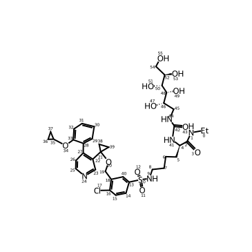 CCNC(=O)[C@@H](CCCCNS(=O)(=O)c1ccc(Cl)c(COC2(c3cnccc3-c3ccccc3OC3CC3)CC2)c1)NC(=O)NC[C@H](O)[C@@H](O)[C@H](O)[C@H](O)CO